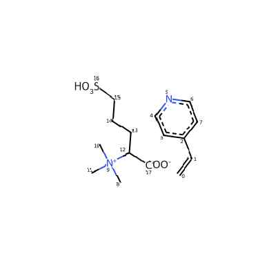 C=Cc1ccncc1.C[N+](C)(C)C(CCCS(=O)(=O)O)C(=O)[O-]